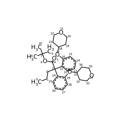 CCCC(C(=O)OC(C)(C)C)(c1ccccc1OC1CCOCC1)c1ccccc1OC1CCOCC1